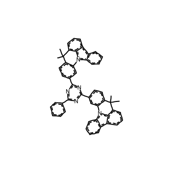 CC1(C)c2ccc(-c3nc(-c4ccccc4)nc(-c4ccc5c(c4)-n4c6ccccc6c6cccc(c64)C5(C)C)n3)cc2-n2c3ccccc3c3cccc1c32